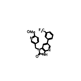 COc1ccc(Cn2c(=O)[nH]c3ncc(-c4cccc(C(F)(F)F)c4)cc32)cn1